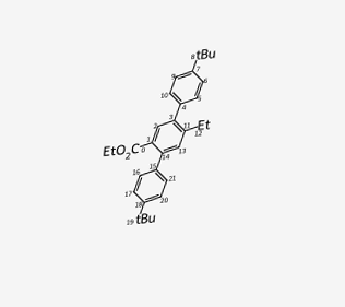 CCOC(=O)c1cc(-c2ccc(C(C)(C)C)cc2)c(CC)cc1-c1ccc(C(C)(C)C)cc1